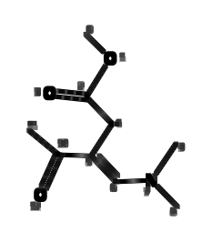 COC(=O)C/C(=C\N(C)C)C(C)=O